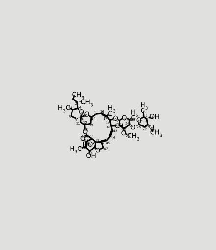 CC[C@H](C)C1O[C@]2(CCC1C)CC1CC(CC=C(C)C(O[C@H]3C[C@H](OC)[C@@H](O[C@H]4C[C@H](OC)[C@@H](O)[C@H](C)O4)[C@H](C)O3)C(C)C=CC=C3COC4C(O)C(C)=CC(C(=O)O1)[C@]34O)O2